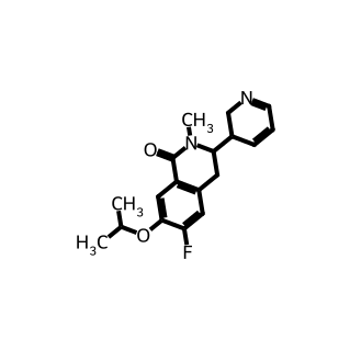 CC(C)Oc1cc2c(cc1F)CC(C1C=CC=NC1)N(C)C2=O